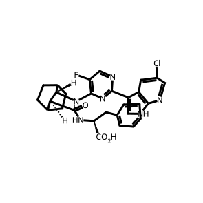 O=C(O)[C@H](Cc1ccccc1)NC(=O)[C@H]1C2CCC(CC2)[C@@H]1Nc1nc(-c2c[nH]c3ncc(Cl)cc23)ncc1F